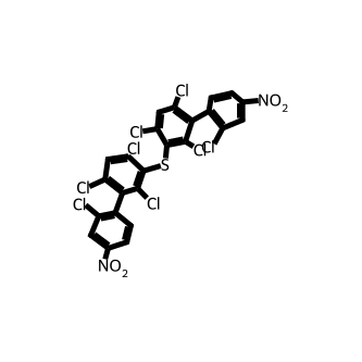 O=[N+]([O-])c1ccc(-c2c(Cl)cc(Cl)c(Sc3c(Cl)cc(Cl)c(-c4ccc([N+](=O)[O-])cc4Cl)c3Cl)c2Cl)c(Cl)c1